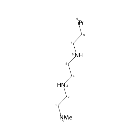 CNCCNCCNCCC(C)C